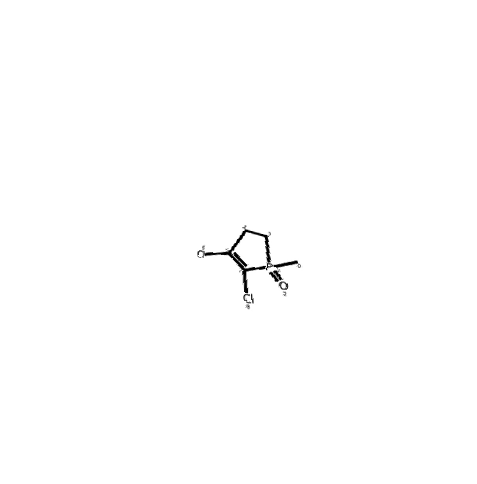 CP1(=O)CCC(Cl)=C1Cl